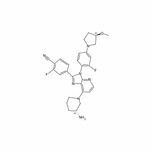 CO[C@@H]1CCN(c2ccc(-n3c(-c4ccc(C#N)c(F)c4)nc4c(N5CCC[C@@H](N)C5)ccnc43)c(F)c2)C1